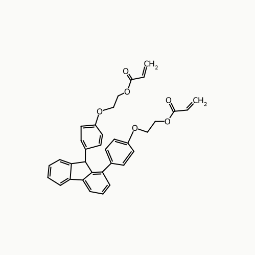 C=CC(=O)OCCOc1ccc(-c2cccc3c2C(c2ccc(OCCOC(=O)C=C)cc2)c2ccccc2-3)cc1